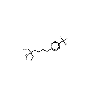 CC[Si](CC)(CCCCc1ccc(C(F)(F)F)cc1)OC